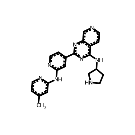 Cc1ccnc(Nc2cc(-c3nc(NC4CCNC4)c4ccncc4n3)ccn2)c1